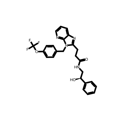 O=C(CCc1nc2cccnc2n1Cc1ccc(OC(F)(F)F)cc1)NC[C@H](O)c1ccccc1